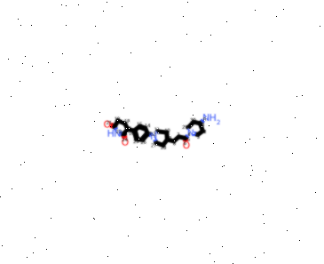 NC1CCN(C(=O)CCC2CCN(c3ccc(C4CCC(=O)NC4=O)cc3)CC2)CC1